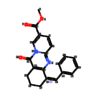 COC(=O)c1ccc2nc3c(c(=O)n2c1)CCC/C3=C/c1ccccc1